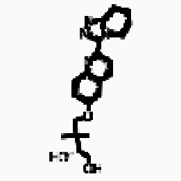 CC(C)(COc1ccc2nc(-c3nnc4ccccn34)ccc2c1)[C@@H](O)CO